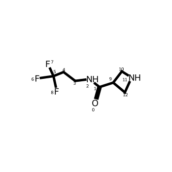 O=C(NCCC(F)(F)F)C1CNC1